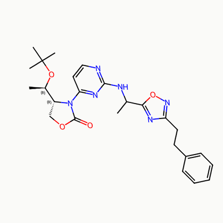 CC(Nc1nccc(N2C(=O)OC[C@@H]2[C@@H](C)OC(C)(C)C)n1)c1nc(CCc2ccccc2)no1